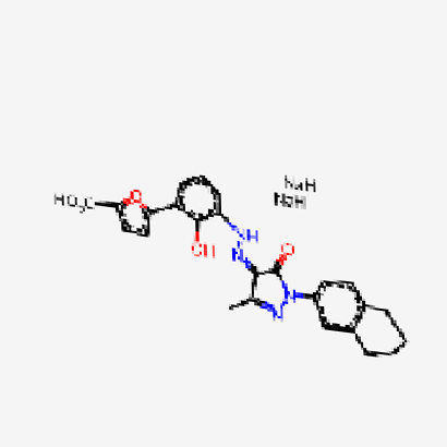 CC1=NN(c2ccc3c(c2)CCCC3)C(=O)/C1=N\Nc1cccc(-c2ccc(C(=O)O)o2)c1O.[NaH].[NaH]